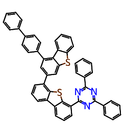 c1ccc(-c2ccc(-c3cc(-c4cccc5c4sc4c(-c6nc(-c7ccccc7)nc(-c7ccccc7)n6)cccc45)cc4sc5ccccc5c34)cc2)cc1